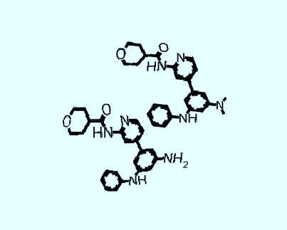 CN(C)c1cc(Nc2ccccc2)cc(-c2ccnc(NC(=O)C3CCOCC3)c2)c1.Nc1cc(Nc2ccccc2)cc(-c2ccnc(NC(=O)C3CCOCC3)c2)c1